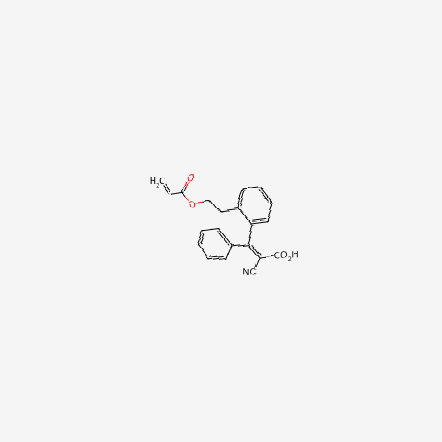 C=CC(=O)OCCc1ccccc1C(=C(C#N)C(=O)O)c1ccccc1